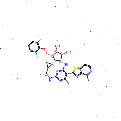 Cc1nc(N[C@H](C)C2CC2)nc(N[C@@H]2C[C@H](COc3c(F)cccc3F)[C@@H](O)[C@H]2O)c1-c1nc2c(C)nccc2s1